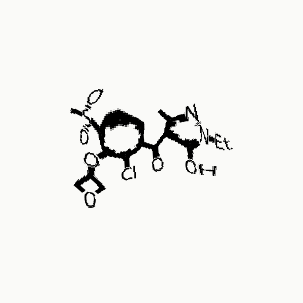 CCn1nc(C)c(C(=O)c2ccc(S(C)(=O)=O)c(OC3COC3)c2Cl)c1O